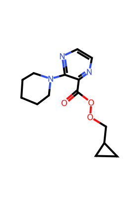 O=C(OOCC1CC1)c1nccnc1N1CCCCC1